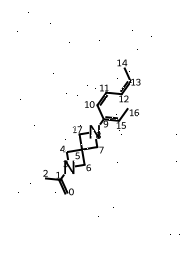 C=C(C)N1CC2(C1)CN(C(/C=C\C=C/C)=C/C)C2